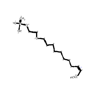 C=P(O)(O)OCCOCCCCCCCC/C=C\CCCCCCCC